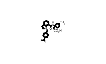 CC1CCC(CC(=O)O)(NC(=O)c2cccc3ccn(Cc4ccc(C(F)F)cc4)c23)C1